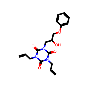 C=CCn1c(=O)n(CC=C)c(=O)n(CC(O)COc2ccccc2)c1=O